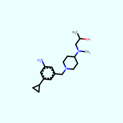 CC(O)CN(C)C1CCN(Cc2cc(N)cc(C3CC3)c2)CC1